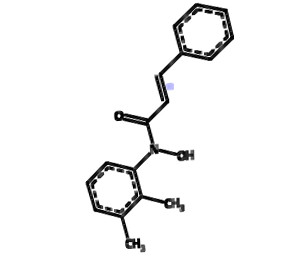 Cc1cccc(N(O)C(=O)/C=C/c2ccccc2)c1C